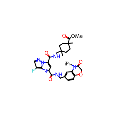 COC(=O)C1(C)CCC(C)(CNC(=O)c2cc(C(=O)NCc3ccc4c(c3)N(C(C)C)C(=O)CO4)nc3c(F)cnn23)CC1